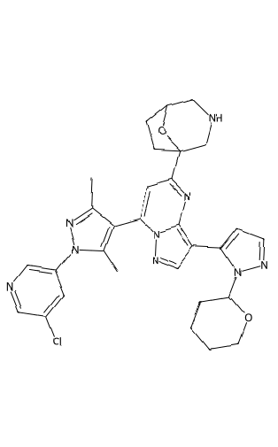 Cc1nn(-c2cncc(Cl)c2)c(C)c1-c1cc(C23CCC(CNC2)O3)nc2c(-c3ccnn3C3CCCCO3)cnn12